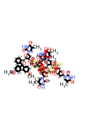 COc1ccc(C(OC[C@H]2O[C@@H](n3cc(C)c(=O)[nH]c3=O)C[C@@H]2O[P@](=O)(S)OC[C@H]2O[C@@H](n3cc(C)c(=O)[nH]c3=O)C[C@@H]2O[P@](=O)(S)OC[C@H]2O[C@@H](N3C=C(C)C(O)NC3=O)C[C@@H]2O[P@](=O)(S)OC[C@H]2O[C@@H](n3cc(C)c(=O)[nH]c3=O)C[C@@H]2O[P@](=O)(S)OC[C@H]2O[C@@H](n3cc(C)c(=O)[nH]c3=O)C[C@@H]2O[P@](=O)(S)OC(C)C)(c2ccccc2)c2ccc(OC)cc2)cc1